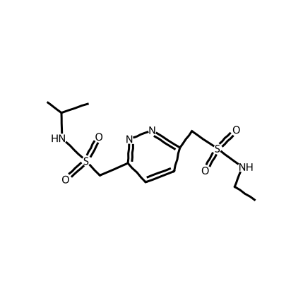 CCNS(=O)(=O)Cc1ccc(CS(=O)(=O)NC(C)C)nn1